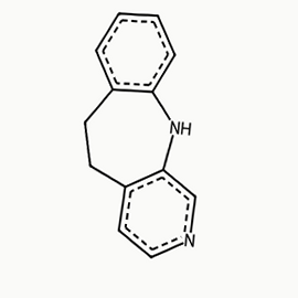 c1ccc2c(c1)CCc1ccncc1N2